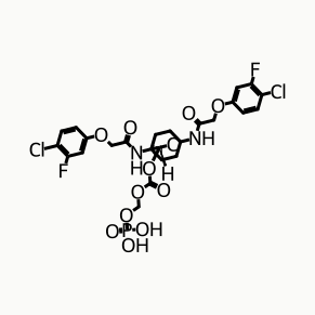 O=C(COc1ccc(Cl)c(F)c1)NC12CCC(NC(=O)COc3ccc(Cl)c(F)c3)(CC1)[C@@H](OC(=O)OCOP(=O)(O)O)C2